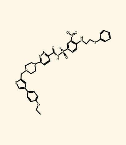 CCOc1ccc(-c2csc(CN3CCN(c4ccc(C(=O)NS(=O)(=O)c5ccc(NCCSc6ccccc6)c([N+](=O)[O-])c5)nn4)CC3)c2)cc1